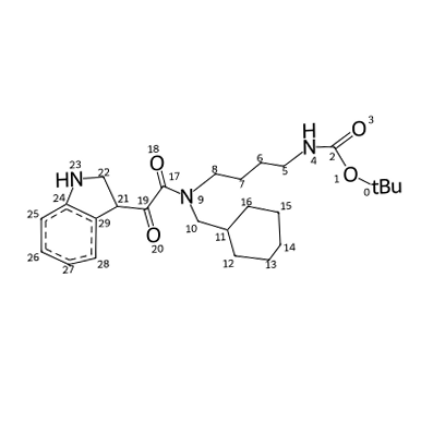 CC(C)(C)OC(=O)NCCCCN(CC1CCCCC1)C(=O)C(=O)C1CNc2ccccc21